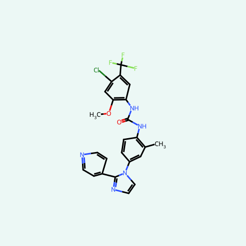 COc1cc(Cl)c(C(F)(F)F)cc1NC(=O)Nc1ccc(-n2ccnc2-c2ccncc2)cc1C